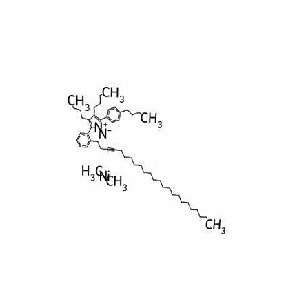 CCCCCCCCCCCCCCCCCCCCC#CCCc1ccccc1C1=C(CCCC)C(CCCC)=C(c2ccc(CCCC)cc2)[N+]1=[N-].[CH3][Ni][CH3]